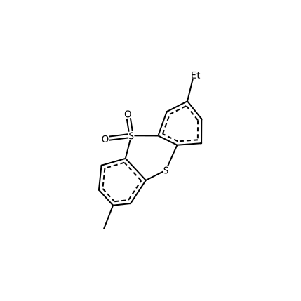 CCc1ccc2c(c1)S(=O)(=O)c1ccc(C)cc1S2